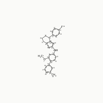 COc1cc(Nc2nc3n(n2)C(c2ccc(F)cc2)CCC3)ccc1-c1ccnc(C)c1